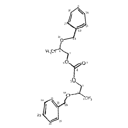 CC(COC(=O)OCC(C)OCc1ccccc1)OCc1ccccc1